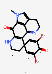 Cn1cc2c3c1C(=O)C1=C(C3=NCC2)C2(C=C(Br)C(=O)C(Br)=C2)CCN1